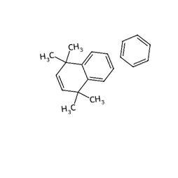 CC1(C)C=CC(C)(C)c2ccccc21.c1ccccc1